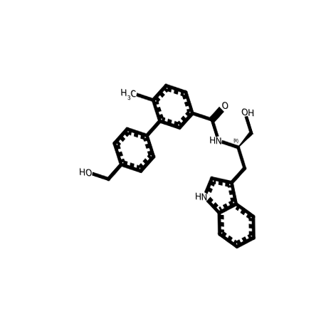 Cc1ccc(C(=O)N[C@@H](CO)Cc2c[nH]c3ccccc23)cc1-c1ccc(CO)cc1